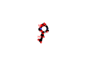 CCC1/C=C(\C)CC(C)CC(OC)C2OC(O)(C(=O)C(=O)N3CCCCC3C(=O)OC(C(C)=CC3CCC(O)(CC=Cc4cc(OC)cc(OC)c4)C(OC)C3)C(C)CCC1=O)C(C)CC2OC